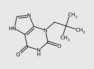 CC(C)(C)Cn1c(=O)[nH]c(=O)c2[nH]cnc21